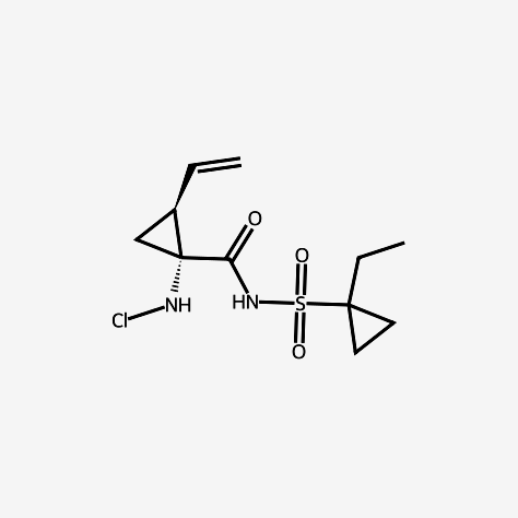 C=C[C@@H]1C[C@]1(NCl)C(=O)NS(=O)(=O)C1(CC)CC1